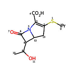 CC(C)SC1=C(C(=O)O)N2C(=O)C(C(C)O)C2C1